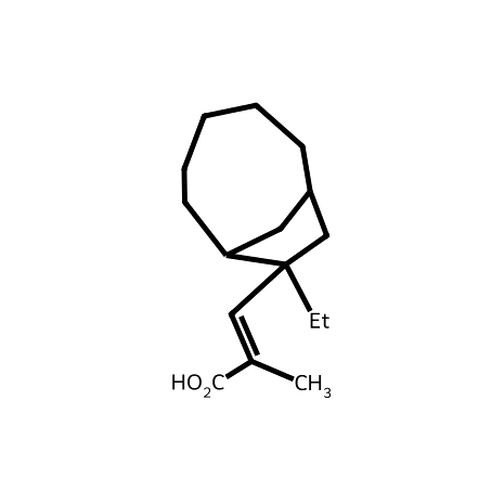 CCC1(C=C(C)C(=O)O)CC2CCCCCC1C2